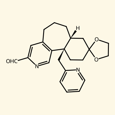 O=Cc1cc2c(cn1)[C@@]1(Cc3ccccn3)CCC3(C[C@H]1CCC2)OCCO3